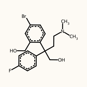 CN(C)CCC(CO)(c1ccc(F)cc1)c1ccc(Br)cc1CO